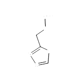 O=CSCc1nncs1